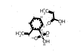 C=CC(=O)O.C=Cc1ccccc1S(=O)(=O)O